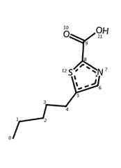 CCCCCc1cnc(C(=O)O)s1